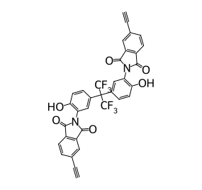 C#Cc1ccc2c(c1)C(=O)N(c1cc(C(c3ccc(O)c(N4C(=O)c5ccc(C#C)cc5C4=O)c3)(C(F)(F)F)C(F)(F)F)ccc1O)C2=O